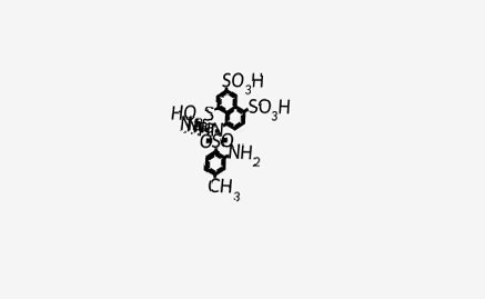 Cc1ccc(S(=O)(=O)Nc2ccc(S(=O)(=O)O)c3cc(S(=O)(=O)O)cc(S(=O)(=O)O)c23)c(N)c1.[Na].[Na].[Na]